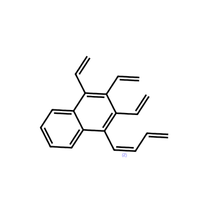 C=C/C=C\c1c(C=C)c(C=C)c(C=C)c2ccccc12